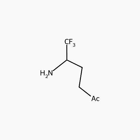 CC(=O)CCC(N)C(F)(F)F